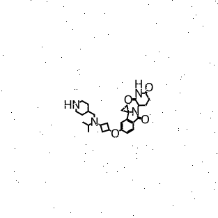 CC(C)N(CC1CCNCC1)[C@H]1C[C@H](Oc2ccc3c(c2)C2(CC2)N(C2CCC(=O)NC2=O)C3=O)C1